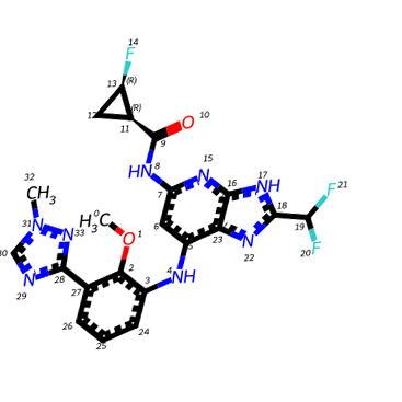 COc1c(Nc2cc(NC(=O)[C@H]3C[C@H]3F)nc3[nH]c(C(F)F)nc23)cccc1-c1ncn(C)n1